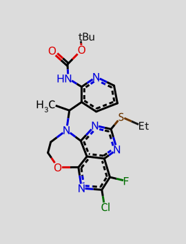 CCSc1nc2c3c(nc(Cl)c(F)c3n1)OCCN2C(C)c1cccnc1NC(=O)OC(C)(C)C